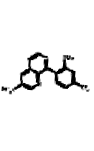 COc1cc(C(F)(F)F)ccc1-c1nccc2cc(S(=O)(=O)O)cnc12